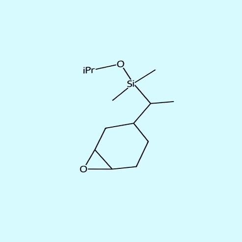 CC(C)O[Si](C)(C)C(C)C1CCC2OC2C1